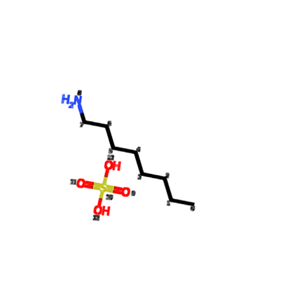 CCCCCCCCN.O=S(=O)(O)O